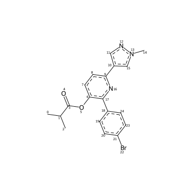 CC(C)C(=O)Oc1ccc(-c2cnn(C)c2)nc1-c1ccc(Br)cc1